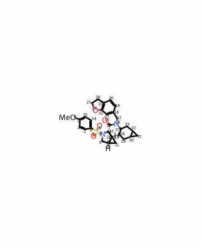 COc1ccc(S(=O)(=O)N2C[C@@H]3C[C@@H]3[C@H]2C(=O)N(Cc2ccc3c(c2)OCC3)C2CCC3CC3C2)cc1